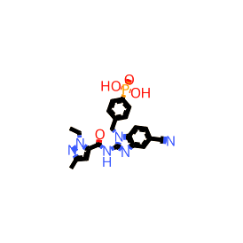 CCn1nc(C)cc1C(=O)Nc1nc2cc(C#N)ccc2n1Cc1ccc(P(=O)(O)O)cc1